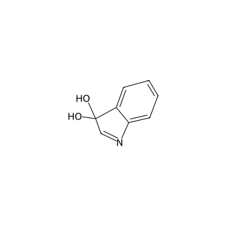 OC1(O)C=Nc2ccccc21